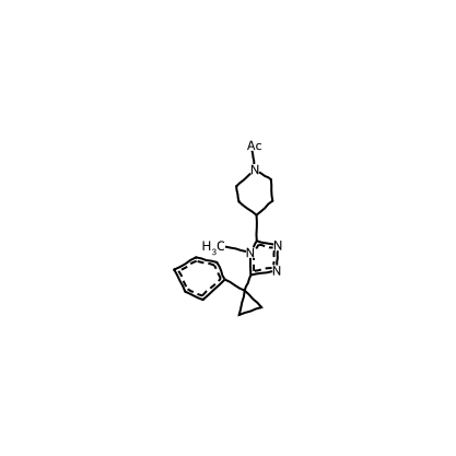 CC(=O)N1CCC(c2nnc(C3(c4ccccc4)CC3)n2C)CC1